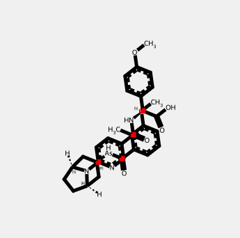 COc1ccc([C@H](NC(=O)c2ccc(N3[C@@H]4CC[C@H]3C[C@@H]([AsH]C(=O)c3cccc(OC)c3C)C4)nc2)C(=O)O)cc1